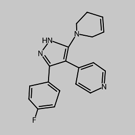 Fc1ccc(-c2n[nH]c(N3CC=CCC3)c2-c2ccncc2)cc1